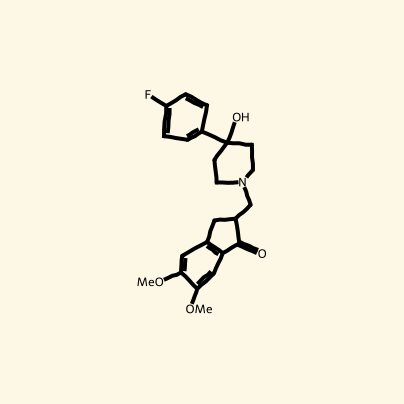 COc1cc2c(cc1OC)C(=O)C(CN1CCC(O)(c3ccc(F)cc3)CC1)C2